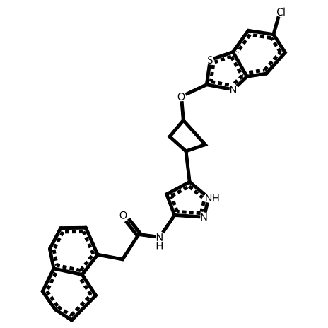 O=C(Cc1cccc2ccccc12)Nc1cc(C2CC(Oc3nc4ccc(Cl)cc4s3)C2)[nH]n1